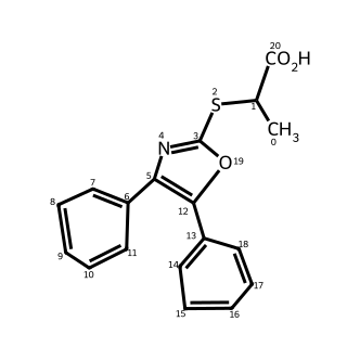 CC(Sc1nc(-c2ccccc2)c(-c2ccccc2)o1)C(=O)O